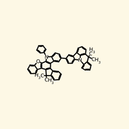 CC1(C)c2ccccc2-c2c1c1c3ccccc3oc1c1c2c2cc(-c3ccc4c(c3)c3cccc5c3n4-c3ccccc3C5(C)C)ccc2n1-c1ccccc1